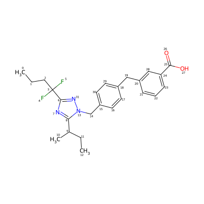 CCCC(F)(F)c1nc(C(C)CC)n(Cc2ccc(Cc3cccc(C(=O)O)c3)cc2)n1